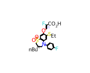 CCCC[C@H]1CN(c2ccc(F)cc2)c2cc(SCC)c(O/C=C(\F)C(=O)O)cc2S(=O)(=O)C1